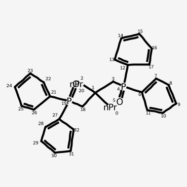 CCCC(CCC)(CP(=O)(c1ccccc1)c1ccccc1)CP(=O)(c1ccccc1)c1ccccc1